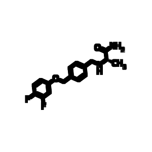 C[C@H](NCc1ccc(COc2ccc(F)c(F)c2)cc1)C(N)=O